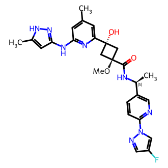 CO[C@]1(C(=O)N[C@@H](C)c2ccc(-n3cc(F)cn3)nc2)C[C@](O)(c2cc(C)cc(Nc3cc(C)[nH]n3)n2)C1